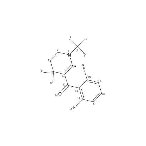 CC1(C)CCN(C(C)(C)C)C=C1C(=O)c1c(F)cccc1F